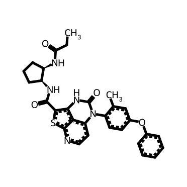 CCC(=O)N[C@@H]1CCC[C@@H]1NC(=O)c1sc2nccc3c2c1NC(=O)N3c1ccc(Oc2ccccc2)cc1C